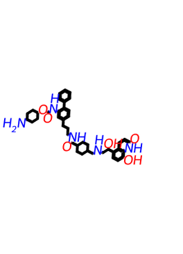 NC1CCC(OC(=O)Nc2cc(CCCNC(=O)C3CCC(CNC[C@H](O)c4ccc(O)c5[nH]c(=O)ccc45)CC3)ccc2-c2ccccc2)CC1